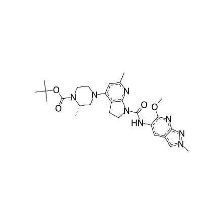 COc1nc2nn(C)cc2cc1NC(=O)N1CCc2c(N3CCN(C(=O)OC(C)(C)C)[C@@H](C)C3)cc(C)nc21